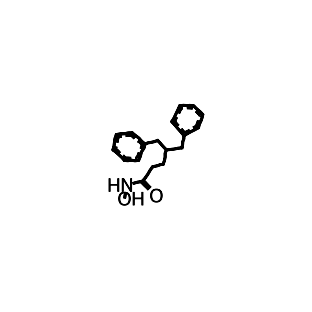 O=C(CCC(Cc1ccccc1)Cc1ccccc1)NO